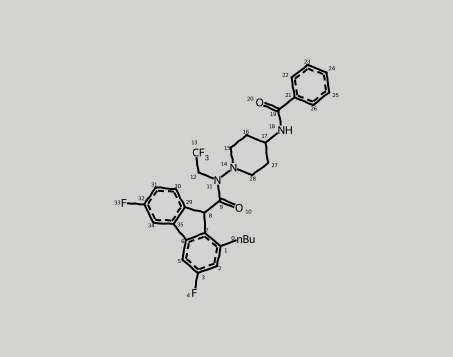 CCCCc1cc(F)cc2c1C(C(=O)N(CC(F)(F)F)N1CCC(NC(=O)c3ccccc3)CC1)c1ccc(F)cc1-2